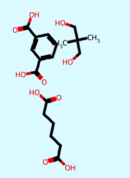 CC(C)(CO)CO.O=C(O)CCCCC(=O)O.O=C(O)c1cccc(C(=O)O)c1